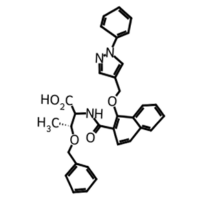 C[C@@H](OCc1ccccc1)C(NC(=O)c1ccc2ccccc2c1OCc1cnn(-c2ccccc2)c1)C(=O)O